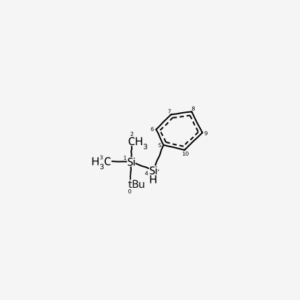 CC(C)(C)[Si](C)(C)[SiH]c1ccccc1